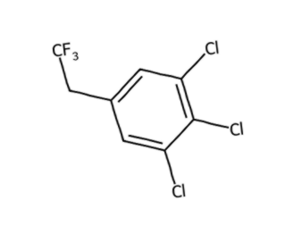 FC(F)(F)Cc1cc(Cl)c(Cl)c(Cl)c1